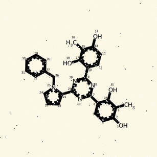 Cc1c(O)ccc(-c2nc(-c3ccc(O)c(C)c3O)nc(-c3cccn3Cc3ccccc3)n2)c1O